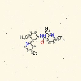 CCc1ccnc(-c2cc(NC(=O)c3ccc(C(F)(F)F)nc3C)ccc2C)c1